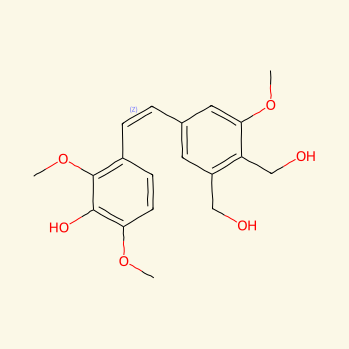 COc1ccc(/C=C\c2cc(CO)c(CO)c(OC)c2)c(OC)c1O